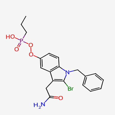 CCCP(=O)(O)OOc1ccc2c(c1)c(CC(N)=O)c(Br)n2Cc1ccccc1